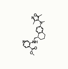 COC(=O)c1ccncc1NC[C@@H]1CCCc2cc(N(C)c3c(C)noc3C)ccc21